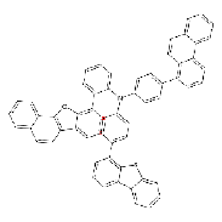 c1ccc(N(c2ccc(-c3cccc4c3ccc3ccccc34)cc2)c2ccc(-c3cccc4c3sc3ccccc34)cc2)c(-c2cccc3c2oc2c4ccccc4ccc32)c1